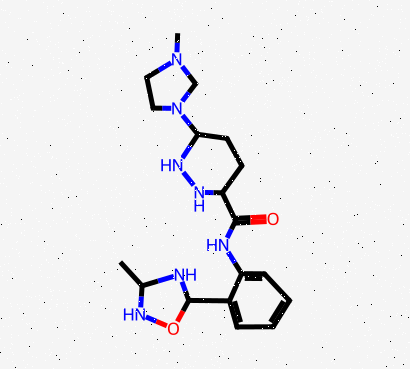 CC1NOC(c2ccccc2NC(=O)C2CCC(N3CCN(C)C3)NN2)N1